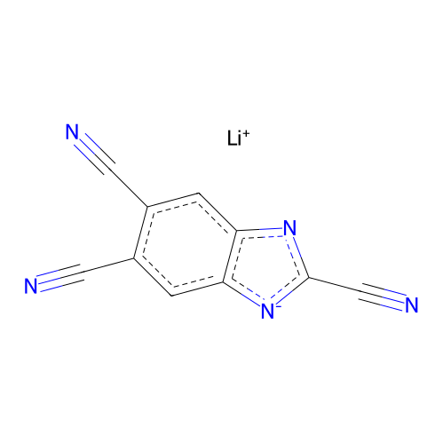 N#Cc1nc2cc(C#N)c(C#N)cc2[n-]1.[Li+]